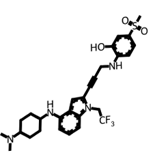 CN(C)C1CCC(Nc2cccc3c2cc(C#CCNc2ccc(S(C)(=O)=O)cc2O)n3CC(F)(F)F)CC1